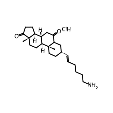 C[C@]12CC[C@@H](C=CCCCCN)CC1C(=O)C[C@@H]1[C@@H]2CC[C@]2(C)C(=O)CC[C@@H]12.Cl